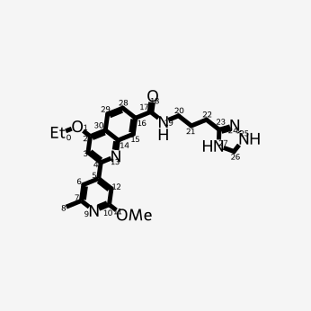 CCOc1cc(-c2cc(C)nc(OC)c2)nc2cc(C(=O)NCCCC3=NNCN3)ccc12